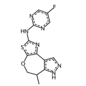 CC1COc2sc(Nc3ncc(F)cn3)nc2-c2cn[nH]c21